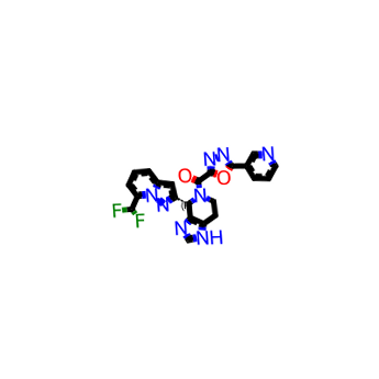 O=C(c1nnc(-c2cccnc2)o1)N1CCc2[nH]cnc2[C@@H]1c1cc2cccc(C(F)F)n2n1